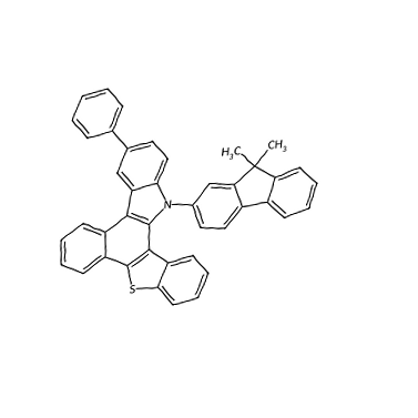 CC1(C)c2ccccc2-c2ccc(-n3c4ccc(-c5ccccc5)cc4c4c5ccccc5c5sc6ccccc6c5c43)cc21